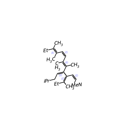 CC/C(C)=C(/C=C\NC)C(=C/CC(C)C)\C(C)=C(C)\C=C/C(C)=C(\C)CC